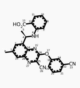 Cc1cc([C@@H](C)Nc2ccccc2C(=O)O)c2nc(Oc3cccc(C#N)c3)c(C#N)nc2c1